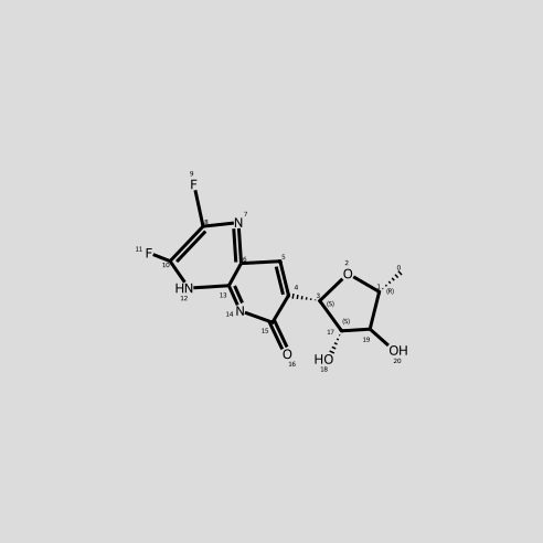 C[C@H]1O[C@@H](c2cc3nc(F)c(F)[nH]c-3nc2=O)[C@@H](O)C1O